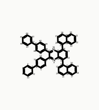 c1ccc(-c2ccc(-c3nc4c(-c5cccc6ccccc56)ccc(-c5cccc6ccccc56)c4nc3-c3ccc(-c4ccccc4)cc3)cc2)cc1